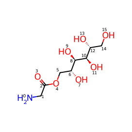 NCC(=O)OC[C@@H](O)[C@@H](O)[C@H](O)[C@H](O)CO